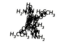 CO[C@H]1[C@H]2O[P@](=O)(OCOC(=O)OC(C)C)OC[C@@]3(C)C[C@@H](n4cnc5c(N)ncnc54)[C@H](O)[C@@H]3O[P@@](=O)(SCOC(=O)OC(C)C)OC[C@H]1O[C@H]2n1cnc2c(=O)[nH]c(N)nc21